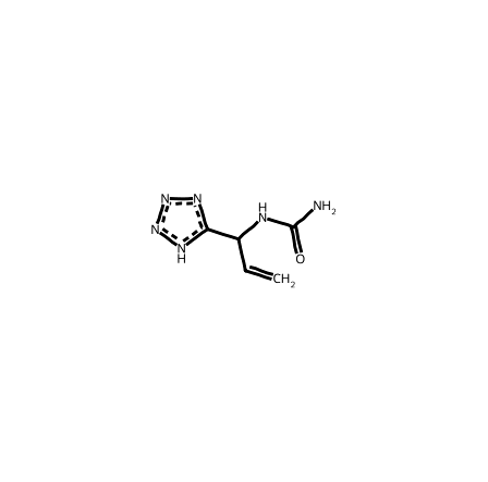 C=CC(NC(N)=O)c1nnn[nH]1